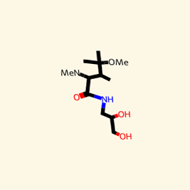 CNC(C(=O)NCC(O)CO)C(C)C(C)(C)OC